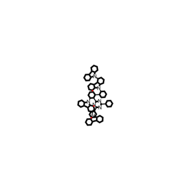 c1ccc(-c2nc(-c3ccccc3)nc(-c3c(-c4ccccc4-n4c5ccccc5c5c(-n6c7ccccc7c7ccccc76)cccc54)cccc3-n3c4ccccc4c4cc(-n5c6ccccc6c6ccccc65)ccc43)n2)cc1